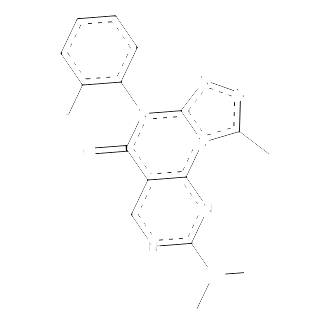 Cc1nnc2n(-c3ccccc3Cl)c(=O)c3cnc([S+](C)[O-])nc3n12